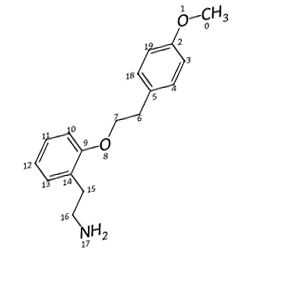 COc1ccc(CCOc2ccccc2CCN)cc1